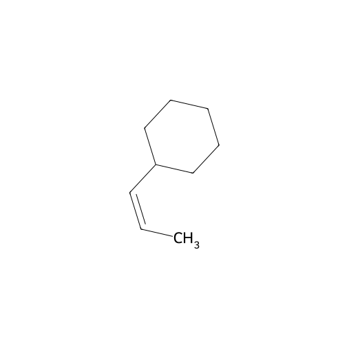 C/C=C\C1CCCCC1